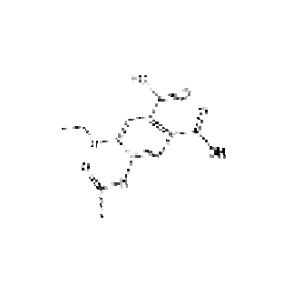 CCOc1cc(C(=O)O)c(C(=O)O)cc1NC(C)=O